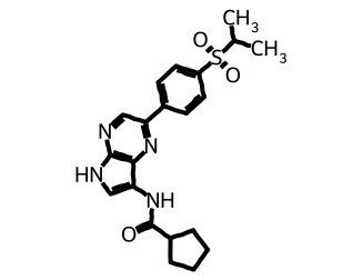 CC(C)S(=O)(=O)c1ccc(-c2cnc3[nH]cc(NC(=O)C4CCCC4)c3n2)cc1